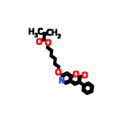 C=C(C)C(=O)OCCCCCCOc1cc2oc(=O)c(-c3ccccc3)cc2cn1